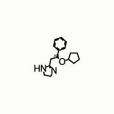 c1ccc([C@H](CC2=NCCN2)OC2CCCC2)cc1